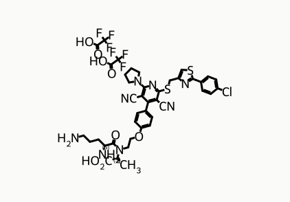 C[C@@H](C(=O)O)N(CCOc1ccc(-c2c(C#N)c(SCc3csc(-c4ccc(Cl)cc4)n3)nc(N3CCCC3)c2C#N)cc1)C(=O)[C@@H](N)CCCN.O=C(O)C(F)(F)F.O=C(O)C(F)(F)F